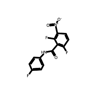 O=C(Nc1ccc(F)cc1)c1c(F)ccc([N+](=O)[O-])c1F